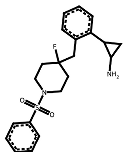 NC1CC1c1ccccc1CC1(F)CCN(S(=O)(=O)c2ccccc2)CC1